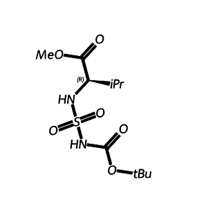 COC(=O)[C@H](NS(=O)(=O)NC(=O)OC(C)(C)C)C(C)C